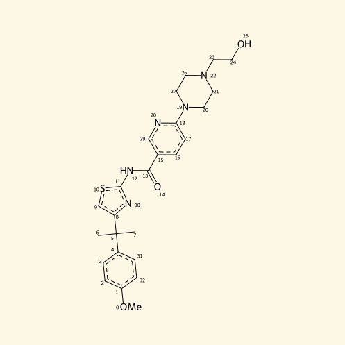 COc1ccc(C(C)(C)c2csc(NC(=O)c3ccc(N4CCN(CCO)CC4)nc3)n2)cc1